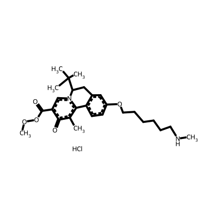 CNCCCCCCOc1ccc2c(c1)CC(C(C)(C)C)n1cc(C(=O)OOC)c(=O)c(C)c1-2.Cl